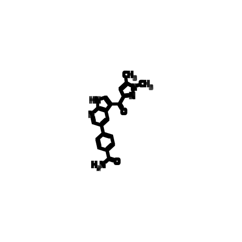 Cc1cc(C(=O)c2c[nH]c3ncc(-c4ccc(C(N)=O)cc4)cc23)nn1C